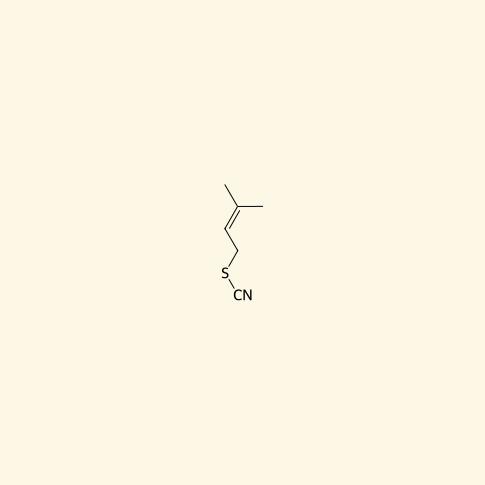 CC(C)=CCSC#N